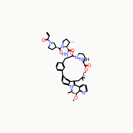 C=CC(=O)N1CC[C@H](C(=O)N2CC[C@H](C)[C@H]2C(=O)N[C@H]2Cc3cccc(c3)-c3ccc4c(c3)c(c(-c3cccnc3[C@H](C)OC)n4CC)CC(C)(C)COC(=O)[C@@H]3CCCN(N3)C2=O)C1